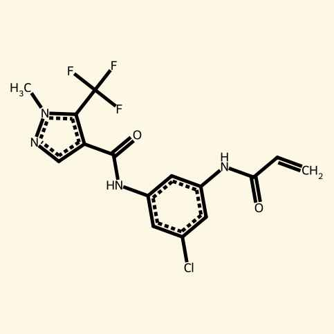 C=CC(=O)Nc1cc(Cl)cc(NC(=O)c2cnn(C)c2C(F)(F)F)c1